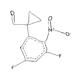 O=CC1(c2cc(F)cc(F)c2[N+](=O)[O-])CC1